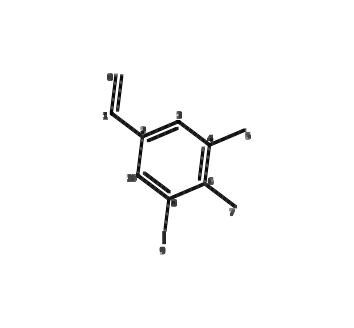 C=Cc1cc(C)c(C)c(I)c1